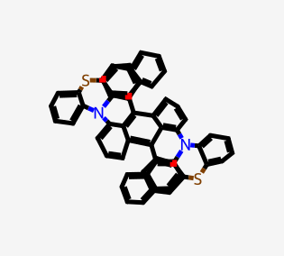 c1ccc2c(c1)Sc1ccccc1N2c1cccc2c(-c3cccc4ccccc34)c3c(N4c5ccccc5Sc5ccccc54)cccc3c(-c3cccc4ccccc34)c12